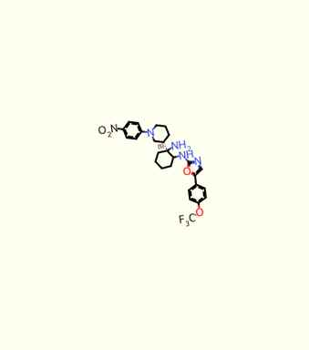 NC1([C@H]2CCCN(c3ccc([N+](=O)[O-])cc3)C2)CCCCC1Nc1ncc(-c2ccc(OC(F)(F)F)cc2)o1